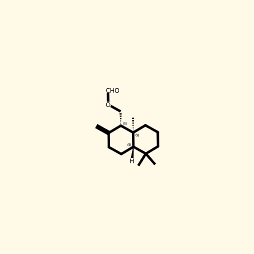 C=C1CC[C@H]2C(C)(C)CCC[C@]2(C)[C@H]1COC=O